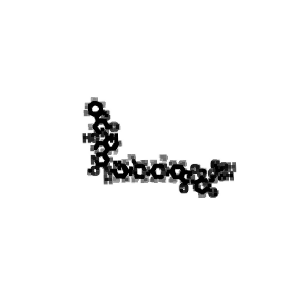 COc1ncc(-c2ccnc(N3CCc4c(sc5c4CCCC5)C3=O)c2C(C)O)cc1Nc1ccc(N2CCN(C3CCN(c4ccc5c(c4)C(=O)N(C4CCC(=O)N(COP(=O)(O)O)C4=O)C5=O)[C@@H](C)C3)C[C@@H]2C)cn1